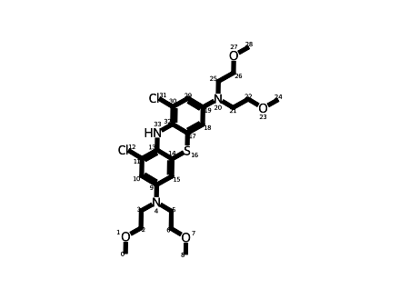 COCCN(CCOC)c1cc(Cl)c2c(c1)Sc1cc(N(CCOC)CCOC)cc(Cl)c1N2